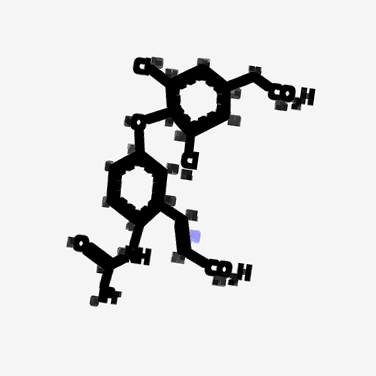 CC(C)C(=O)Nc1ccc(Oc2c(Cl)cc(CC(=O)O)cc2Cl)cc1/C=C/C(=O)O